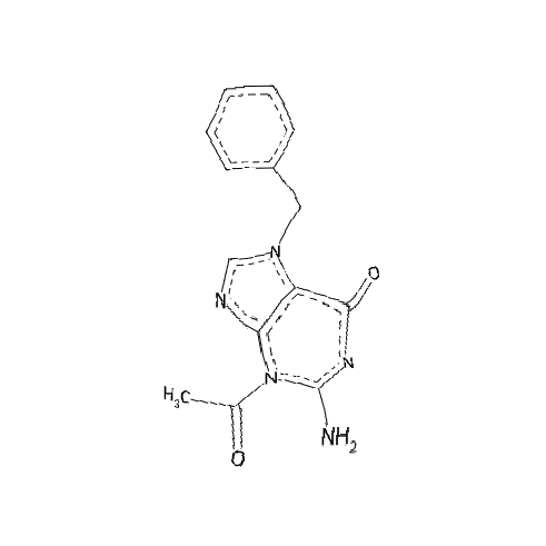 CC(=O)n1c(N)nc(=O)c2c1ncn2Cc1ccccc1